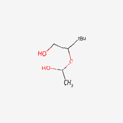 CC(O)OC(CO)C(C)(C)C